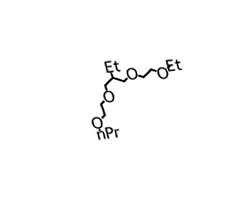 CCCOCCOCC(CC)COCCOCC